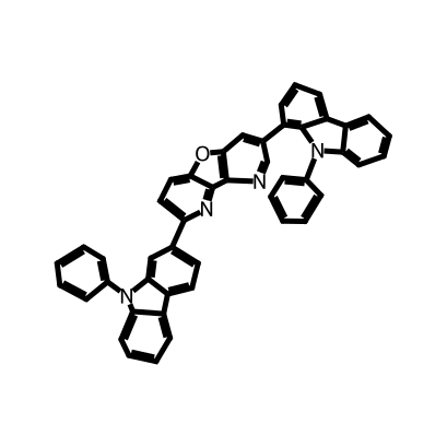 c1ccc(-n2c3ccccc3c3ccc(-c4ccc5oc6cc(-c7cccc8c9ccccc9n(-c9ccccc9)c78)cnc6c5n4)cc32)cc1